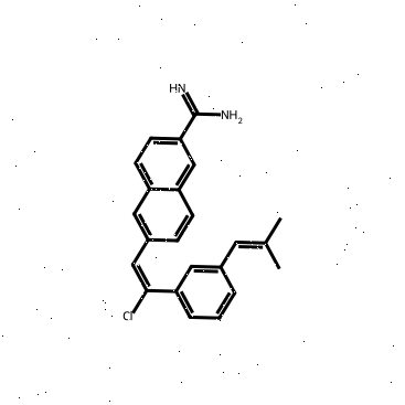 CC(C)=Cc1cccc(/C(Cl)=C\c2ccc3cc(C(=N)N)ccc3c2)c1